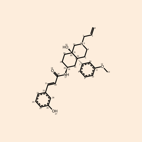 C=CCN1CC[C@@]2(c3cccc(OC)c3)C[C@@H](NC(=O)C=Cc3cccc(O)c3)CC[C@]2(O)C1